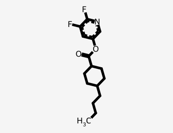 CCCCC1CCC(C(=O)Oc2cnc(F)c(F)c2)CC1